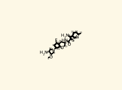 CO[C@H]1CN(c2cc(F)c3c(c2)OC[C@H](NC(=O)c2sc4nc(C)ccc4c2N)C3)C[C@H]1N